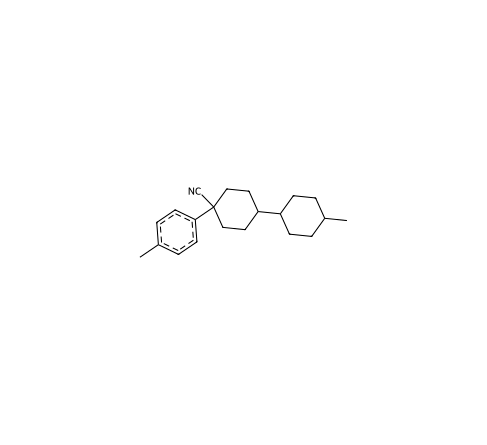 Cc1ccc(C2(C#N)CCC(C3CCC(C)CC3)CC2)cc1